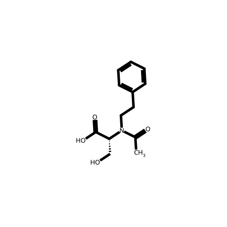 CC(=O)N(CCc1ccccc1)[C@H](CO)C(=O)O